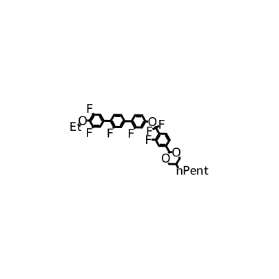 CCCCCC1COC(c2ccc(C(F)(F)Oc3ccc(-c4ccc(-c5cc(F)c(OCC)c(F)c5)c(F)c4)c(F)c3)c(F)c2)OC1